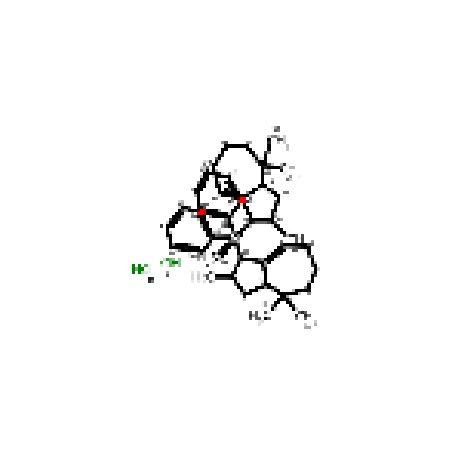 CC1CC2C(=CCCCC2(C)C)[CH]1[Zr](=[SiH2])([c]1ccccc1)([c]1ccccc1)[CH]1C2=CCCCC(C)(C)C2CC1C.Cl.Cl